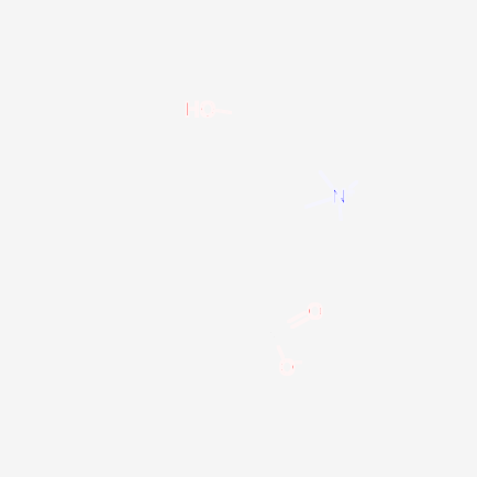 CC(C)CCCCC(=O)[O-].CC[N+](CC)(CC)CCCO